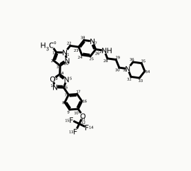 Cc1cc(-c2nc(-c3ccc(OC(F)(F)F)cc3)no2)nn1Cc1ccc(NCCCN2CCCCC2)nc1